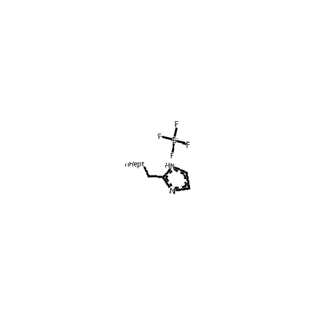 CCCCCCCCc1ncc[nH]1.F[B-](F)(F)F